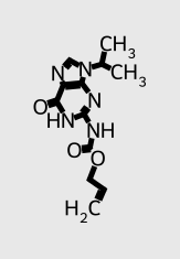 C=CCOC(=O)Nc1nc2c(ncn2C(C)C)c(=O)[nH]1